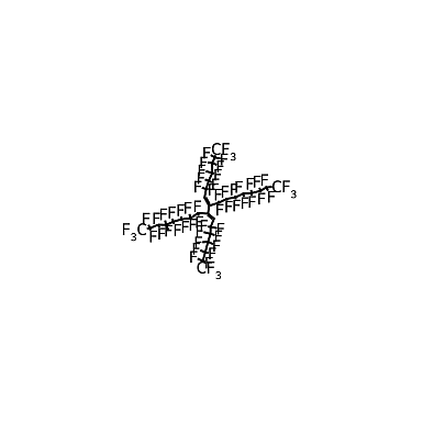 FC(F)(F)C(F)(F)C(F)(F)C(F)(F)C(F)(F)C(F)(F)C=C(C(=CC(F)(F)C(F)(F)C(F)(F)C(F)(F)C(F)(F)C(F)(F)F)C(F)(F)C(F)(F)C(F)(F)C(F)(F)C(F)(F)C(F)(F)C(F)(F)C(F)(F)F)C(F)(F)C(F)(F)C(F)(F)C(F)(F)C(F)(F)C(F)(F)C(F)(F)C(F)(F)F